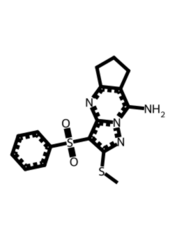 CSc1nn2c(N)c3c(nc2c1S(=O)(=O)c1ccccc1)CCC3